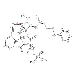 C[Si](C)(C)CCOC(=O)C(N1C(=O)[C@H](CO)[C@H]1SC(=O)CCCSc1ccccn1)=P(c1ccccc1)(c1ccccc1)c1ccccc1